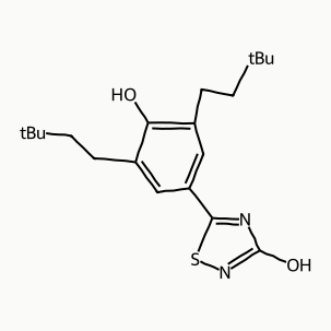 CC(C)(C)CCc1cc(-c2nc(O)ns2)cc(CCC(C)(C)C)c1O